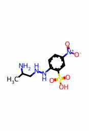 CC(N)CNNc1ccc([N+](=O)[O-])cc1S(=O)(=O)O